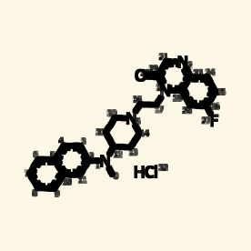 CN(c1ccc2ccccc2c1)C1CCN(CCn2c(=O)cnc3ccc(F)cc32)CC1.Cl